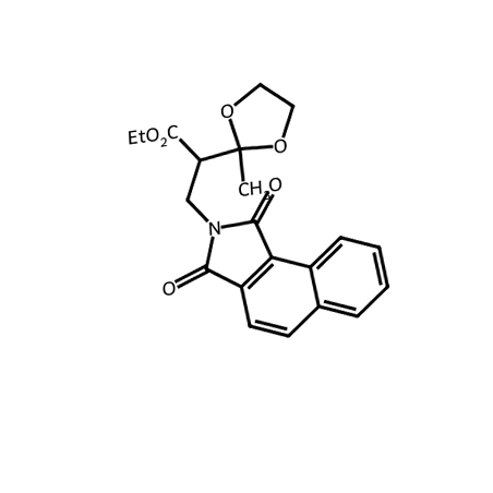 CCOC(=O)C(CN1C(=O)c2ccc3ccccc3c2C1=O)C1(C)OCCO1